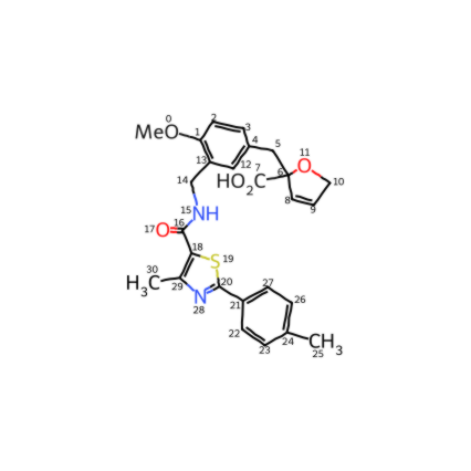 COc1ccc(CC2(C(=O)O)C=CCO2)cc1CNC(=O)c1sc(-c2ccc(C)cc2)nc1C